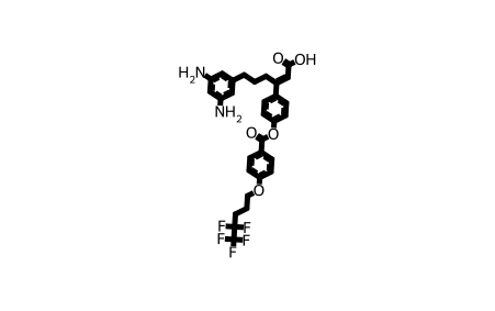 Nc1cc(N)cc(CCC/C(=C\C(=O)O)c2ccc(OC(=O)c3ccc(OCCCC(F)(F)C(F)(F)F)cc3)cc2)c1